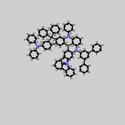 c1ccc(-c2cc(-c3ccccc3)cc(N3c4cc5c(cc4B4c6cc7c(cc6N(c6ccccc6)c6cccc3c64)C(c3ccccc3)(c3ccccc3)c3cc(N(c4ccccc4)c4ccccc4)ccc3-7)c3cccc4c6ccccc6n5c43)c2)cc1